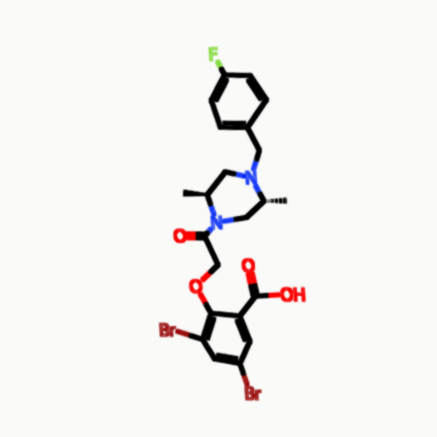 C[C@@H]1CN(C(=O)COc2c(Br)cc(Br)cc2C(=O)O)[C@@H](C)CN1Cc1ccc(F)cc1